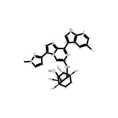 Cn1ccc(-c2cnc3c(-c4c[nH]c5ncc(F)cc45)nc(N[C@H]4[C@H]5CC[C@H](CC5)[C@@H]4C(=O)O)cn23)n1